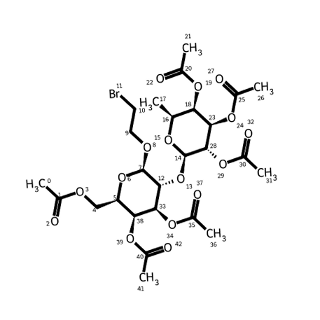 CC(=O)OC[C@H]1O[C@@H](OCCBr)[C@H](O[C@H]2O[C@@H](C)[C@@H](OC(C)=O)[C@@H](OC(C)=O)[C@@H]2OC(C)=O)[C@@H](OC(C)=O)[C@H]1OC(C)=O